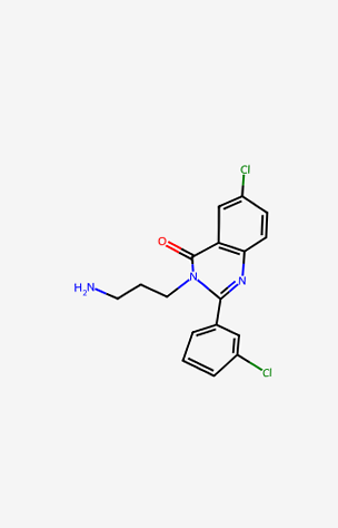 NCCCn1c(-c2cccc(Cl)c2)nc2ccc(Cl)cc2c1=O